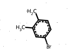 [CH2]c1ccc(Br)cc1C